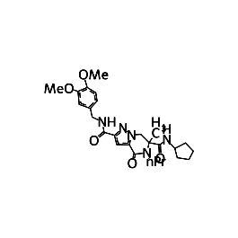 CCCN1C(=O)c2cc(C(=O)NCc3ccc(OC)c(OC)c3)nn2CC1(C)C(=O)NC1CCCC1